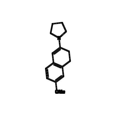 COc1ccc2c(c1)CCC(N1CCCC1)=C2